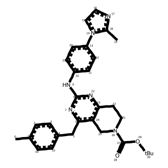 Cc1ccc(Cc2nc(Nc3ccc(-n4ccnc4C)cc3)nc3c2CN(C(=O)OC(C)(C)C)CC3)cc1